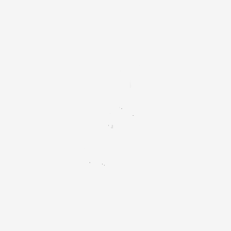 COc1ccc(S(C)(=O)=O)cc1N(S)C(=O)Nc1cccc2c1cnn2C